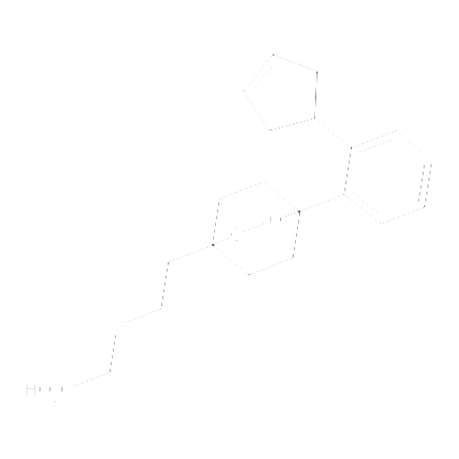 O=C(O)COCCC12CCC(c3ccccc3C3CC=CC3)(CC1)OC2